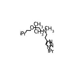 CC(C)CCOC(C)(C)CCN(C)CCc1cn(C(C)C)nn1